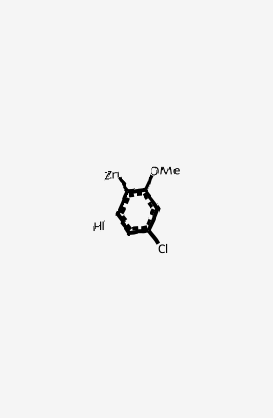 COc1cc(Cl)cc[c]1[Zn].I